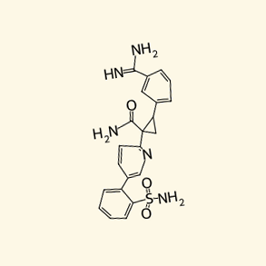 N=C(N)c1cccc(C2CC2(C(N)=O)c2ccc(-c3ccccc3S(N)(=O)=O)cn2)c1